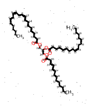 CCCCC/C=C\C/C=C\C/C=C\CCCCCCCCC(=O)OC[C@@H](COC(=O)CCCCCCCCCCCCC)OC(=O)CCCCCCC/C=C\C/C=C\CCCCC